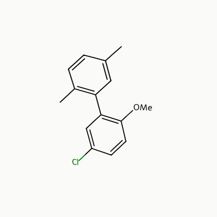 COc1ccc(Cl)cc1-c1cc(C)ccc1C